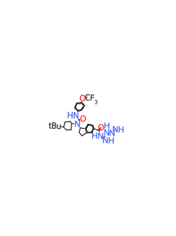 CC(C)(C)C1CCC(N(C(=O)Nc2ccc(OC(F)(F)F)cc2)C2CCc3cc(C(=O)NC(=N)NN=N)ccc32)CC1